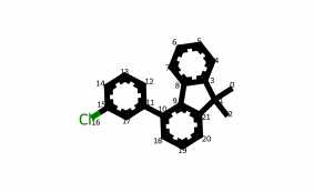 CC1(C)c2ccccc2-c2c(-c3cccc(Cl)c3)cccc21